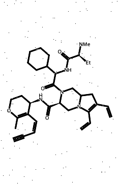 C#C/C=C\C1=C(C)OCC[C@H]1NC(=O)[C@@H]1CN2C(C=C)=C(C=C)CC2CN1C(=O)C(NC(=O)[C@H](CC)NC)C1CCCCC1